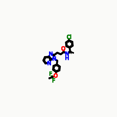 C[C@@H](NC(=O)CCc1nc2cccnc2n1Cc1ccc(OC(C)(F)F)cc1)c1ccc(Cl)cc1